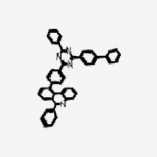 c1ccc(-c2ccc(-c3nc(-c4ccccc4)nc(-c4ccc(-c5cccc6c(-c7ccccc7)nc7ccccc7c56)cc4)n3)cc2)cc1